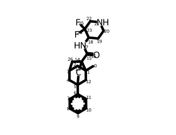 CC12CC3CC(c4ccccc4)(C1)CC2(C(=O)NC1CCNCC1(F)F)C3